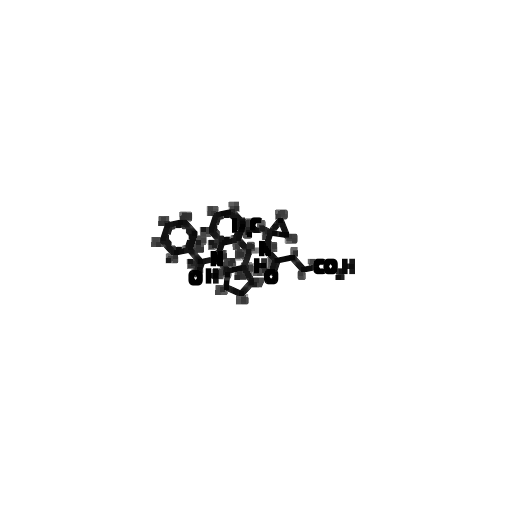 CC1(N(C(=O)CCC(=O)O)[C@H]2c3ccccc3N(C(=O)c3ccccc3)[C@@H]3CCC[C@@H]32)CC1